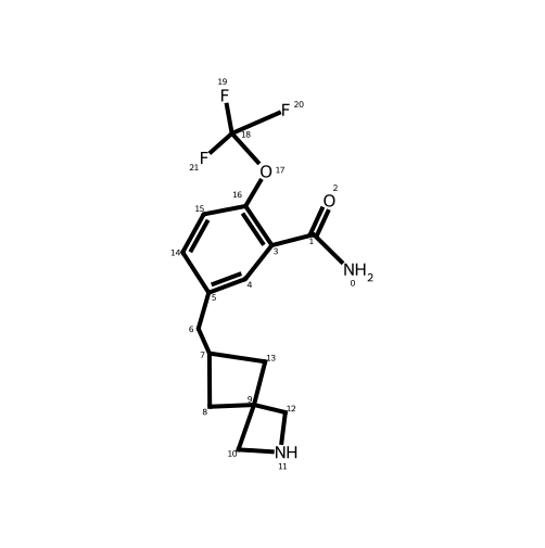 NC(=O)c1cc(CC2CC3(CNC3)C2)ccc1OC(F)(F)F